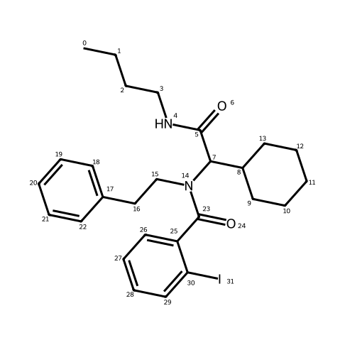 CCCCNC(=O)C(C1CCCCC1)N(CCc1ccccc1)C(=O)c1ccccc1I